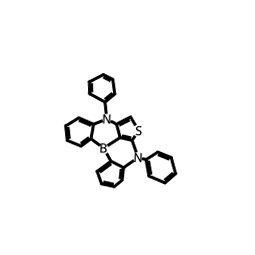 c1ccc(N2c3ccccc3B3c4ccccc4N(c4ccccc4)c4scc2c43)cc1